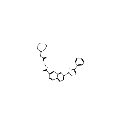 O=C(CC1CCOCC1)ONC(=O)c1ccc2ccc(-c3nc(-c4ccccc4)cs3)cc2c1